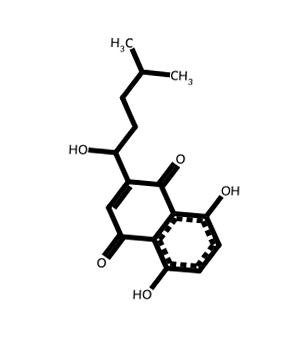 CC(C)CCC(O)C1=CC(=O)c2c(O)ccc(O)c2C1=O